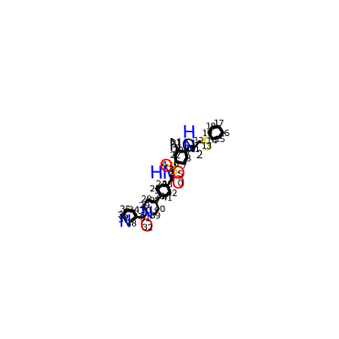 O=C(NS(=O)(=O)c1ccc(NCCSc2ccccc2)c([N+](=O)[O-])c1)c1ccc(C2=CCN(C(=O)c3cccnc3)CC2)cc1